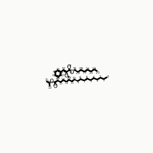 CCCCCCCCCCCCCCCCCC(=O)OC(C)C.CCCCCCCCOC(=O)C(=Cc1ccccc1)OC